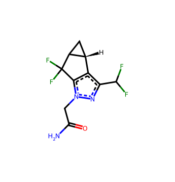 NC(=O)Cn1nc(C(F)F)c2c1C(F)(F)C1C[C@H]21